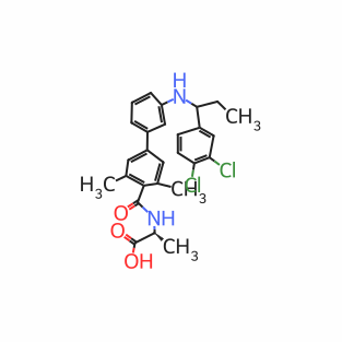 CCC(Nc1cccc(-c2cc(C)c(C(=O)N[C@@H](C)C(=O)O)c(C)c2)c1)c1ccc(Cl)c(Cl)c1